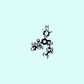 C[C@H]1CN(c2cc(S(=O)(=O)NC3(C#N)COC3)cc3c2cnn3-c2nnc(C(F)F)s2)C[C@H](C)N1